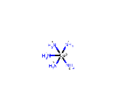 [NH2][Co-2]([NH2])([NH2])([NH2])[NH2]